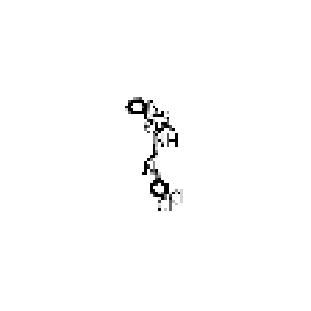 CC(Sc1nc2ccccc2s1)C(=O)NCCCN(C)Cc1ccc(Cl)c(Cl)c1